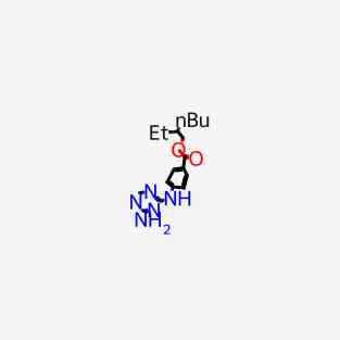 CCCCC(CC)COC(=O)c1ccc(Nc2ncnc(N)n2)cc1